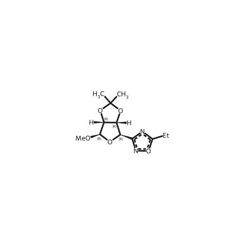 CCc1nc([C@H]2O[C@@H](OC)[C@@H]3OC(C)(C)O[C@@H]32)no1